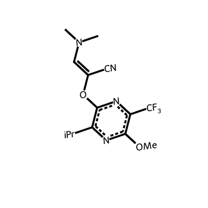 COc1nc(C(C)C)c(O/C(C#N)=C/N(C)C)nc1C(F)(F)F